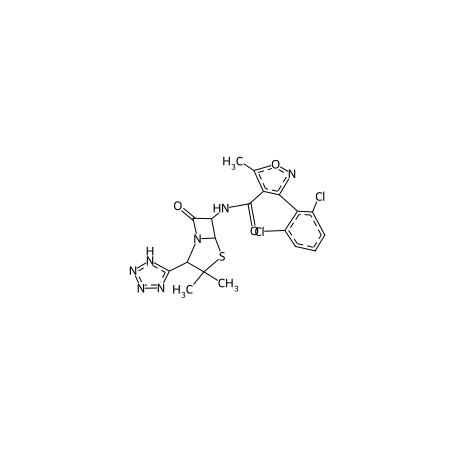 Cc1onc(-c2c(Cl)cccc2Cl)c1C(=O)NC1C(=O)N2C1SC(C)(C)C2c1nnn[nH]1